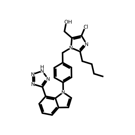 CCCCc1nc(Cl)c(CO)n1Cc1ccc(-n2ccc3cccc(-c4nn[nH]n4)c32)cc1